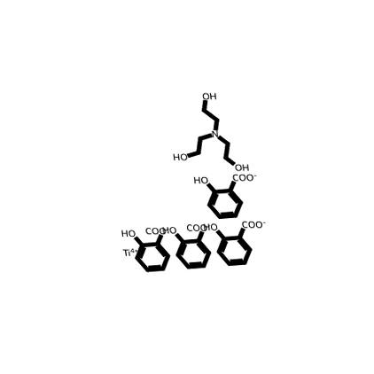 O=C([O-])c1ccccc1O.O=C([O-])c1ccccc1O.O=C([O-])c1ccccc1O.O=C([O-])c1ccccc1O.OCCN(CCO)CCO.[Ti+4]